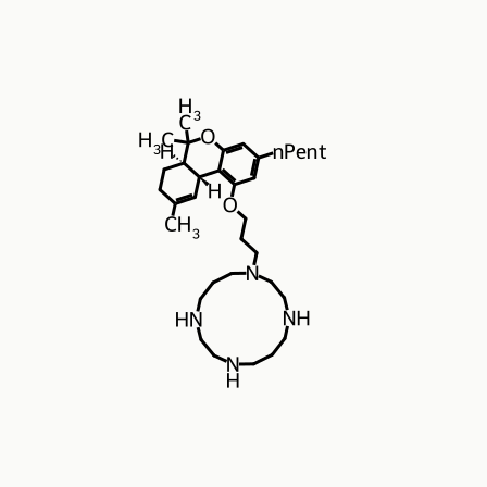 CCCCCc1cc(OCCCN2CCCNCCNCCCNCC2)c2c(c1)OC(C)(C)[C@@H]1CCC(C)=C[C@@H]21